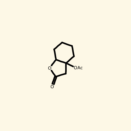 CC(=O)OC12CCCCC1OC(=O)C2